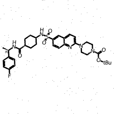 C[C@@H](NC(=O)C1CCC(NS(=O)(=O)c2ccc3nc(N4CCN(C(=O)OC(C)(C)C)CC4)ccc3c2)CC1)c1ccc(F)cc1